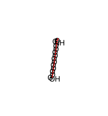 CC(C)(C)OC(=O)NCCOCCOCCOCCOCCOCCOCCOCCOCCOCCOCCC(=O)O